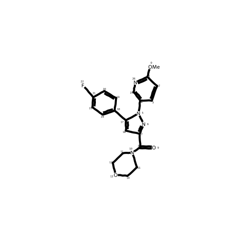 COc1ccc(-n2nc(C(=O)N3CCOCC3)cc2-c2ccc(F)cc2)cn1